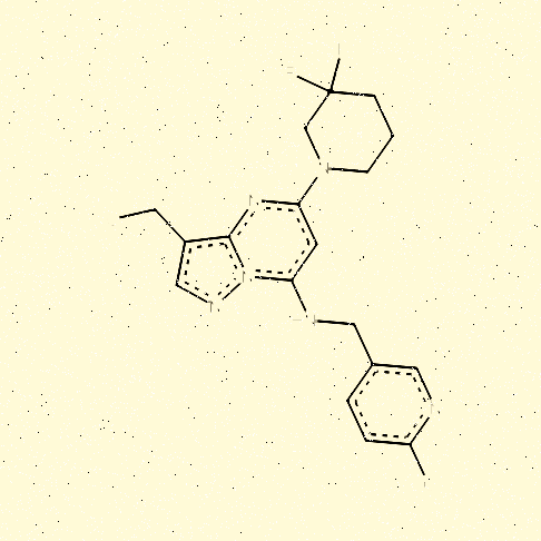 CCc1cnn2c(NCc3ccc(C)nc3)cc(N3CCCC(F)(F)C3)nc12